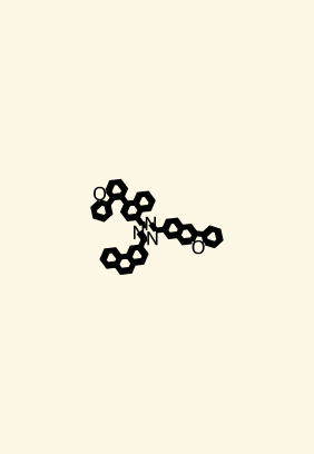 c1ccc2c(c1)ccc1ccc(-c3nc(-c4ccc5cc6c(cc5c4)oc4ccccc46)nc(-c4ccc(-c5cccc6oc7ccccc7c56)c5ccccc45)n3)cc12